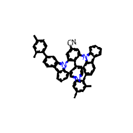 Cc1ccc(-c2ccc3c4ccccc4n(-c4cc(C#N)cc(-n5c6ccccc6c6ccc(-c7ccc(C)cc7C)cc65)c4-c4ccncc4)c3c2)c(C)c1